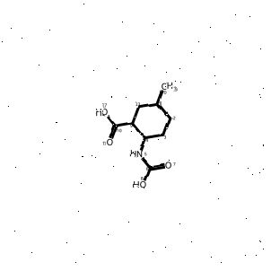 CC1CCC(NC(=O)O)C(C(=O)O)C1